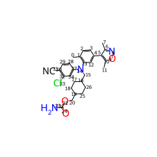 Cc1ccc(-c2c(C)noc2C)cc1N(CC1CCC(COC(N)=O)CC1)c1ccc(C#N)c(Cl)c1